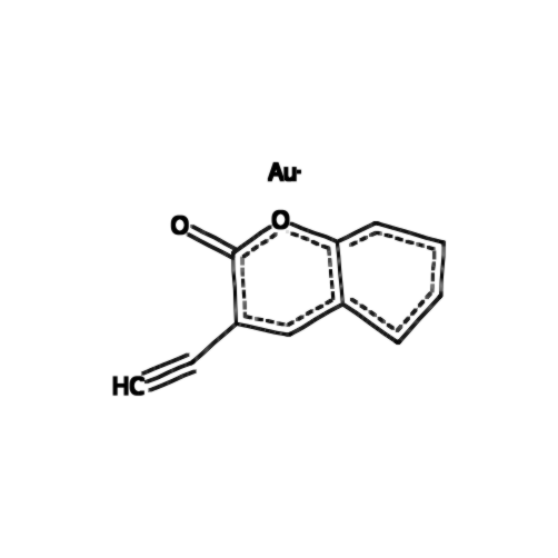 C#Cc1cc2ccccc2oc1=O.[Au]